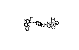 COc1ccc2ncc(F)c(CCC34CCC(N(C)Cc5ccc6c(n5)NC(=O)CO6)(CC3)CO4)c2n1